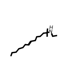 CCCCCCC=CCCCCC(C)(C)NCC